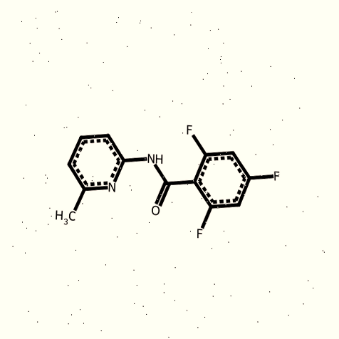 Cc1cccc(NC(=O)c2c(F)cc(F)cc2F)n1